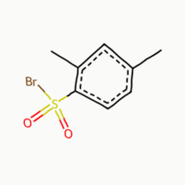 Cc1ccc(S(=O)(=O)Br)c(C)c1